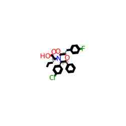 CCC[C@H](C(=O)O)N1C(=O)[C@H](Cc2ccc(F)cc2)O[C@@H](c2ccccc2)[C@H]1c1ccc(Cl)cc1